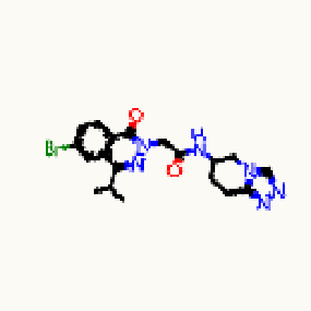 CC(C)c1nn(CC(=O)NC2CCc3nncn3C2)c(=O)c2ccc(Br)cc12